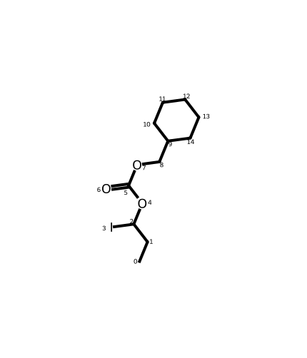 CCC(I)OC(=O)OCC1CCCCC1